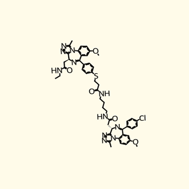 CCNC(=O)C[C@@H]1N=C(c2ccc(SCCC(=O)NCCCCNC(=O)C[C@@H]3N=C(c4ccc(Cl)cc4)c4cc(OC)ccc4-n4c(C)nnc43)cc2)c2cc(OC)ccc2-n2c(C)nnc21